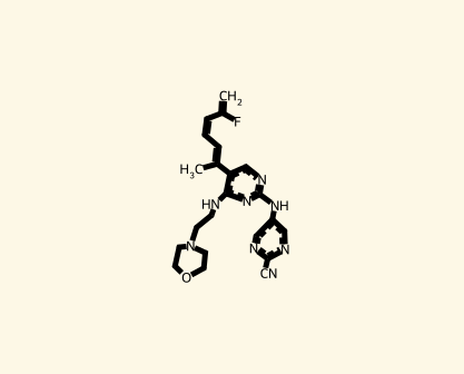 C=C(F)/C=C\C=C(/C)c1cnc(Nc2cnc(C#N)nc2)nc1NCCN1CCOCC1